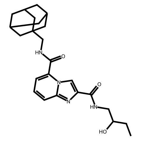 CCC(O)CNC(=O)c1cn2c(C(=O)NCC34CC5CC(CC(C5)C3)C4)cccc2n1